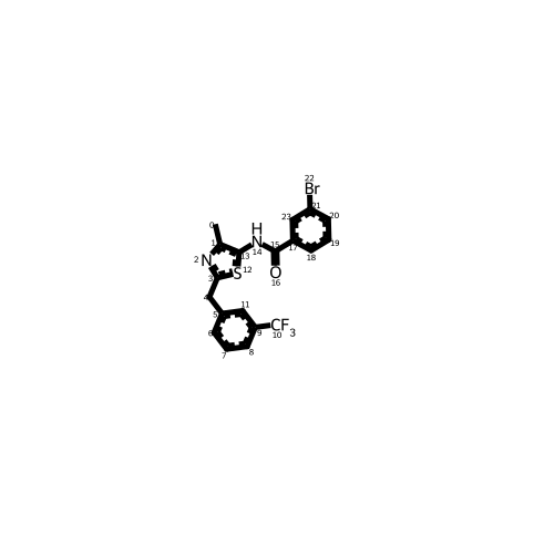 Cc1nc(Cc2cccc(C(F)(F)F)c2)sc1NC(=O)c1cccc(Br)c1